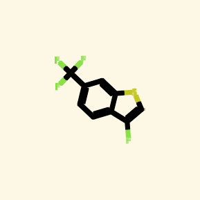 Fc1[c]sc2cc(C(F)(F)F)ccc12